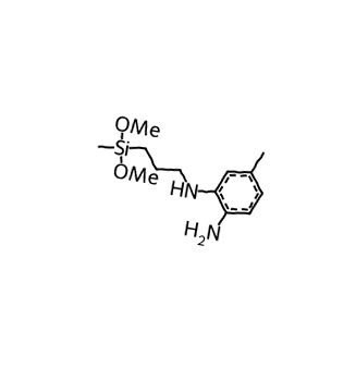 CO[Si](C)(CCCNc1cc(C)ccc1N)OC